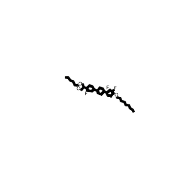 CCCCCCCCCOc1ccc(-c2ccc(-c3ccc(C4COC(CCCCC)OC4)c(F)c3)cc2)c(F)c1F